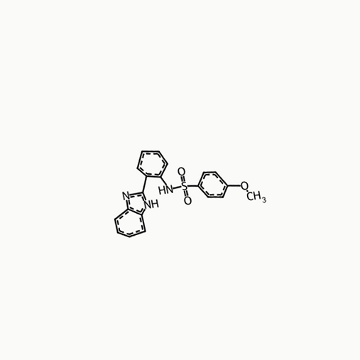 COc1ccc(S(=O)(=O)Nc2ccccc2-c2nc3ccccc3[nH]2)cc1